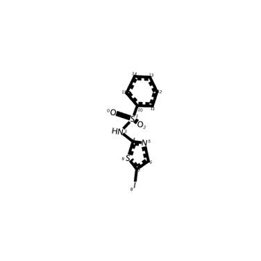 O=S(=O)(Nc1ncc(I)s1)c1ccccc1